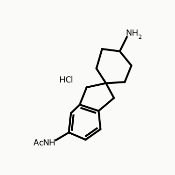 CC(=O)Nc1ccc2c(c1)CC1(CCC(N)CC1)C2.Cl